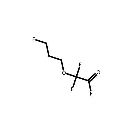 O=C(F)C(F)(F)OCCCF